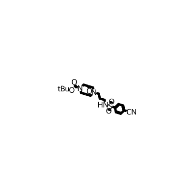 CC(C)(C)OC(=O)N1CC2CN(CCCNS(=O)(=O)c3ccc(C#N)cc3)CC(C1)O2